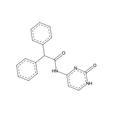 O=C(Nc1cc[nH]c(=O)n1)C(c1ccccc1)c1ccccc1